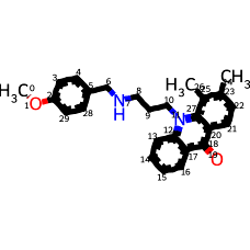 COc1ccc(CNCCCn2c3ccccc3c(=O)c3ccc(C)c(C)c32)cc1